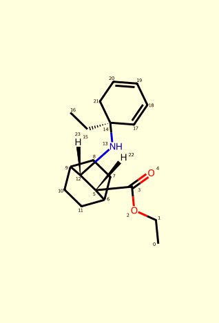 CCOC(=O)[C@@H]1C2CCC(CC2)[C@@H]1N[C@]1(CC)C=CC=CC1